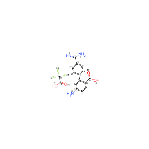 N=C(N)c1ccc(-c2cc(N)ccc2C(=O)O)cc1.O=C(O)C(F)(F)F